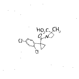 CC1(C(=O)O)CCN1C(=O)C1(c2ccc(Cl)cc2Cl)CC1